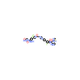 O=C1CCN(c2n[nH]c3cc(C4CCN(C(=O)CCN5CCN(c6ccc(-c7cc(F)c8c(c7)C(=O)N(C(C(=O)Nc7nccs7)c7ncn9c7CCC9)C8)cc6)CC5)CC4(F)F)ccc23)C(=O)N1